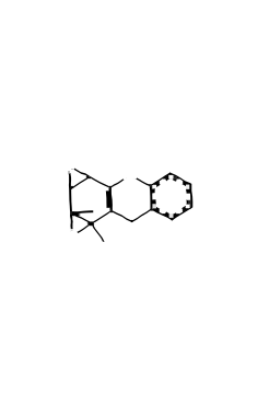 CC12SC1(C)C1SC1C1=C2Cc2ccccc2O1